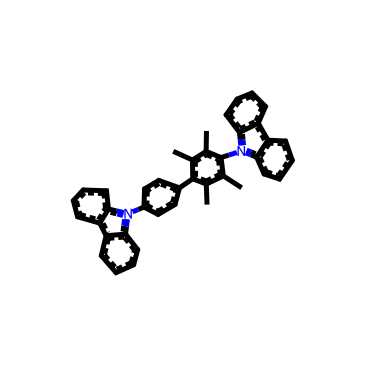 Cc1c(C)c(-n2c3ccccc3c3ccccc32)c(C)c(C)c1-c1ccc(-n2c3ccccc3c3ccccc32)cc1